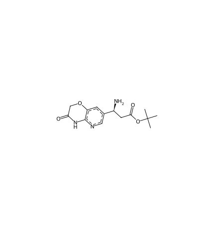 CC(C)(C)OC(=O)C[C@H](N)c1cnc2c(c1)OCC(=O)N2